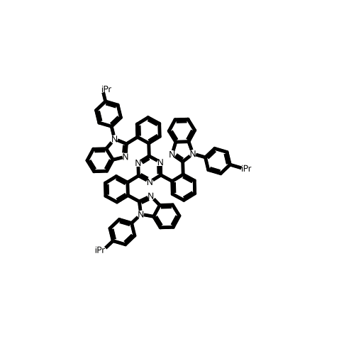 CC(C)c1ccc(-n2c(-c3ccccc3-c3nc(-c4ccccc4-c4nc5ccccc5n4-c4ccc(C(C)C)cc4)nc(-c4ccccc4-c4nc5ccccc5n4-c4ccc(C(C)C)cc4)n3)nc3ccccc32)cc1